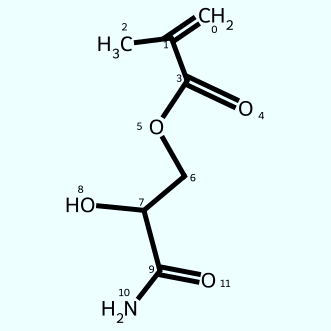 C=C(C)C(=O)OCC(O)C(N)=O